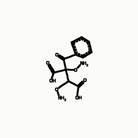 NOC(C(=O)O)C(ON)(C(=O)O)C(=O)c1ccccc1